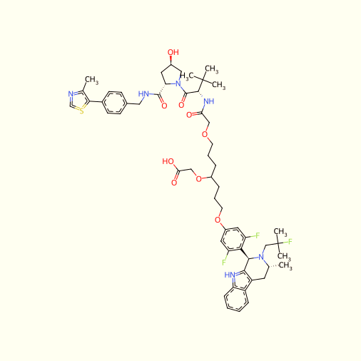 Cc1ncsc1-c1ccc(CNC(=O)[C@@H]2C[C@@H](O)CN2C(=O)[C@@H](NC(=O)COCCCC(CCCOc2cc(F)c([C@@H]3c4[nH]c5ccccc5c4C[C@@H](C)N3CC(C)(C)F)c(F)c2)OCC(=O)O)C(C)(C)C)cc1